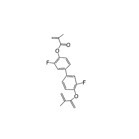 C=C(C)C(=C)Oc1ccc(-c2ccc(OC(=O)C(=C)C)c(F)c2)cc1F